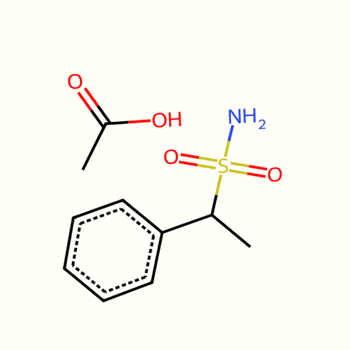 CC(=O)O.CC(c1ccccc1)S(N)(=O)=O